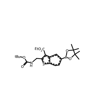 CCOC(=O)c1c(CNC(=O)OC(C)(C)C)sc2ccc(B3OC(C)(C)C(C)(C)O3)cc12